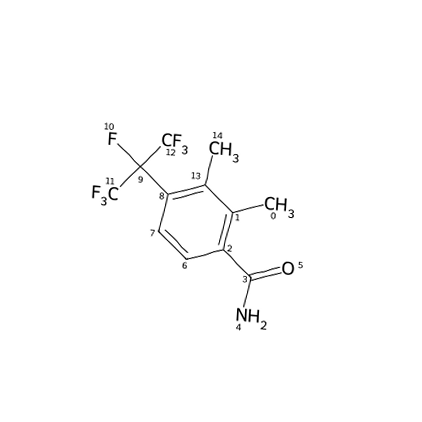 Cc1c(C(N)=O)ccc(C(F)(C(F)(F)F)C(F)(F)F)c1C